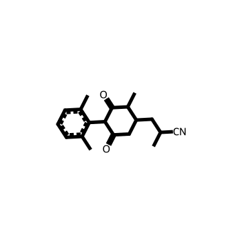 Cc1cccc(C)c1C1C(=O)CC(CC(C)C#N)C(C)C1=O